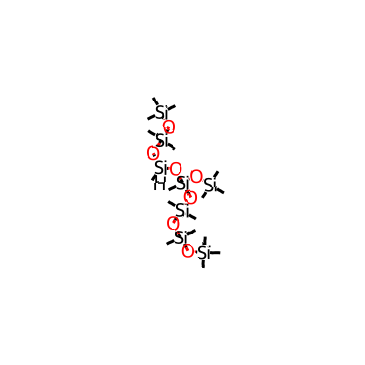 C[SiH](O[Si](C)(C)O[Si](C)(C)C)O[Si](C)(O[Si](C)(C)C)O[Si](C)(C)O[Si](C)(C)O[Si](C)(C)C